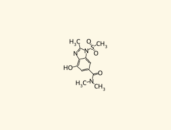 Cc1nc2c(O)cc(C(=O)N(C)C)cc2n1S(C)(=O)=O